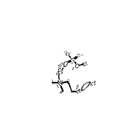 CCCCCCCCCC[N+](C)(C)CC.CCOS(=O)(=O)[O-]